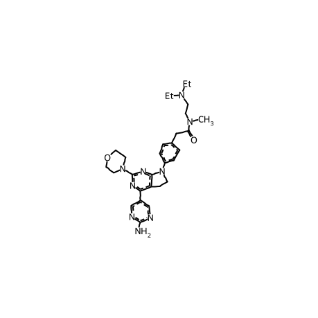 CCN(CC)CCN(C)C(=O)Cc1ccc(N2CCc3c(-c4cnc(N)nc4)nc(N4CCOCC4)nc32)cc1